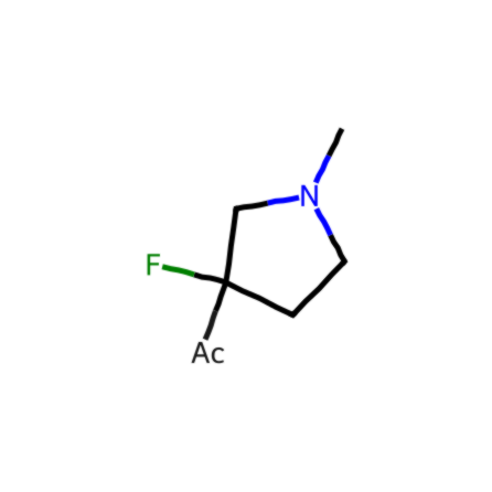 CC(=O)C1(F)CCN(C)C1